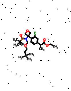 CCOC(=O)C(C)c1ccc(C2(N(COCC[Si](C)(C)C)[S+]([O-])C(C)(C)C)COC2)c(F)c1